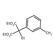 CCOC(=O)C(CC)(C(=O)OCC)c1cccc(C)c1